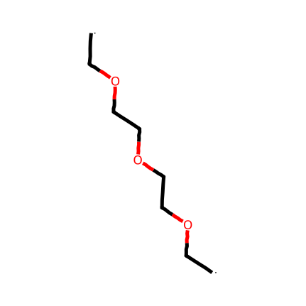 [CH2]COCCOCCOC[CH2]